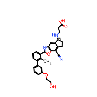 Cc1c(-c2cccc(OCCO)c2)cccc1-c1nc2cc3c(c(C#N)c2o1)CC[C@H]3NCCC(=O)O